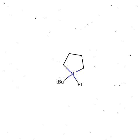 CC[N+]1(C(C)(C)C)CCCC1